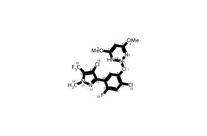 COC1=CC(OC)=NN(Oc2cc(-c3nn(C)c(C(F)(F)F)c3Cl)c(F)cc2Cl)N1